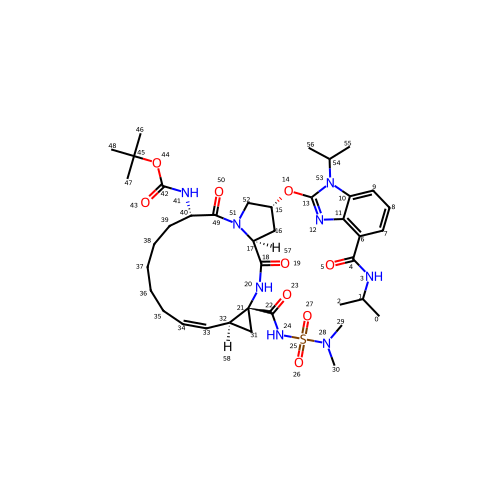 CC(C)NC(=O)c1cccc2c1nc(O[C@@H]1C[C@H]3C(=O)N[C@]4(C(=O)NS(=O)(=O)N(C)C)C[C@H]4/C=C\CCCCC[C@H](NC(=O)OC(C)(C)C)C(=O)N3C1)n2C(C)C